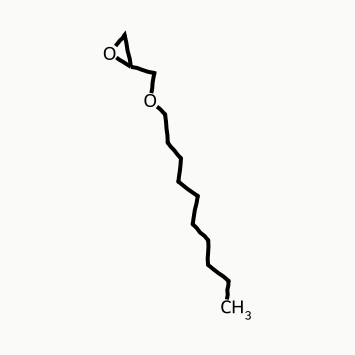 CCCCCCCCCCOCC1CO1